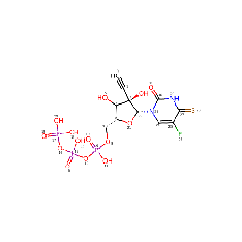 C#C[C@@]1(O)C(O)[C@@H](COP(=O)(O)OP(=O)(O)OP(=O)(O)O)O[C@H]1n1cc(F)c(=S)[nH]c1=O